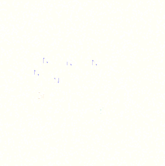 CN(c1ccccc1)c1nc2nnc(Br)n2c2ccc(F)cc12